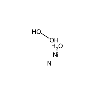 O.OO.[Ni].[Ni]